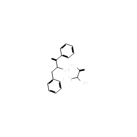 CC(N)C(=O)O.NC(Cc1ccccc1)C(=O)c1ccccc1